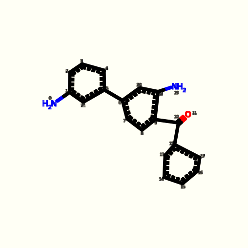 Nc1cccc(-c2ccc(C(=O)c3ccccc3)c(N)c2)c1